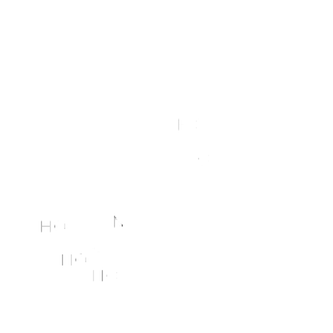 OCC1[C@H](O)C(O)CCN1CCCCCOCC1CCC(C2CCCCC2)CC1C(F)(F)F